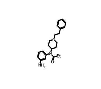 CCC(=O)N(c1cccc(N)c1)C1CCN(CCc2ccccc2)CC1